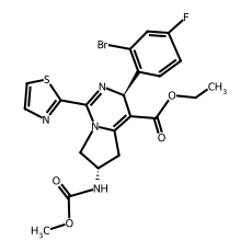 CCOC(=O)C1=C2C[C@H](NC(=O)OC)CN2C(c2nccs2)=N[C@H]1c1ccc(F)cc1Br